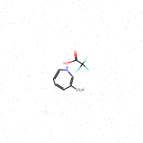 O=C(O)C(F)(F)F.O=C(O)C1=CNC=CC=C1